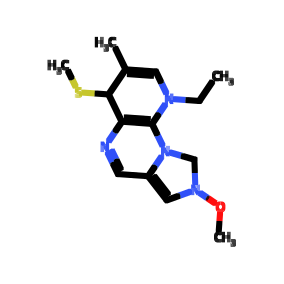 CCN1C=C(C)C(SC)C2=C1N1CN(OC)C=C1C=N2